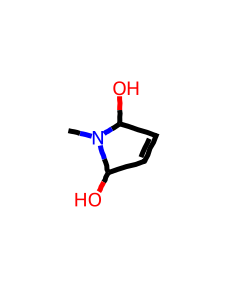 CN1C(O)C=CC1O